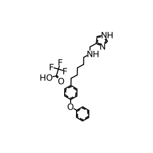 O=C(O)C(F)(F)F.c1ccc(Oc2ccc(CCCCCNCc3c[nH]cn3)cc2)cc1